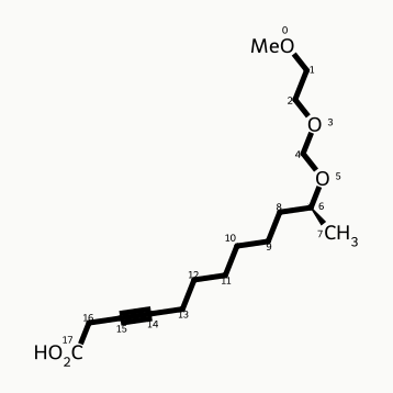 COCCOCO[C@@H](C)CCCCCCC#CCC(=O)O